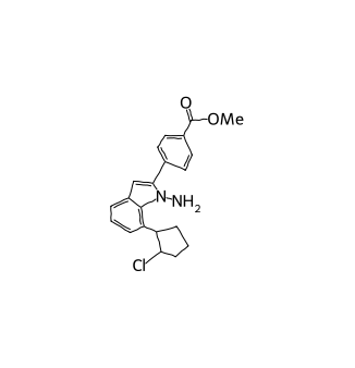 COC(=O)c1ccc(-c2cc3cccc(C4CCCC4Cl)c3n2N)cc1